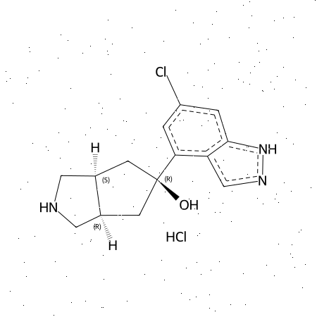 Cl.O[C@@]1(c2cc(Cl)cc3[nH]ncc23)C[C@H]2CNC[C@H]2C1